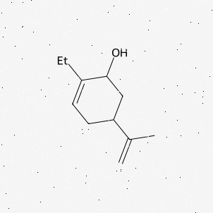 C=C(C)C1CC=C(CC)C(O)C1